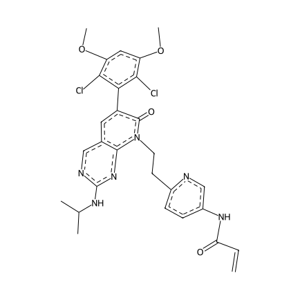 C=CC(=O)Nc1ccc(CCn2c(=O)c(-c3c(Cl)c(OC)cc(OC)c3Cl)cc3cnc(NC(C)C)nc32)nc1